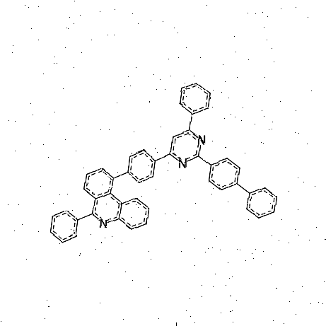 c1ccc(-c2ccc(-c3nc(-c4ccccc4)cc(-c4ccc(-c5cccc6c(-c7ccccc7)nc7ccccc7c56)cc4)n3)cc2)cc1